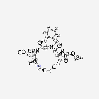 CCOC(=O)[C@@]12C[C@H]1/C=C\CCCCC[C@H](NC(=O)OC(C)(C)C)C(=O)N1Cc3ccccc3CC1C(=O)N2